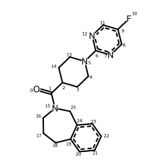 O=C(C1CCN(c2ncc(F)cn2)CC1)N1CCCc2ccccc2C1